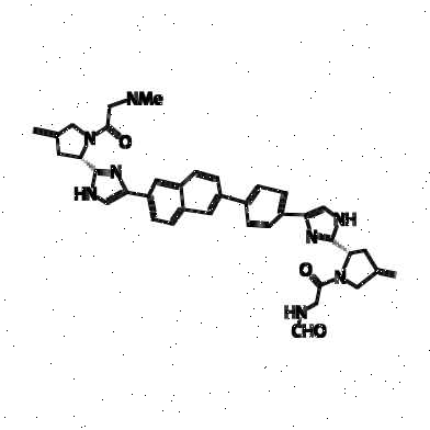 C=C1C[C@@H](c2nc(-c3ccc4cc(-c5ccc(-c6c[nH]c([C@@H]7CC(=C)CN7C(=O)CNC=O)n6)cc5)ccc4c3)c[nH]2)N(C(=O)CNC)C1